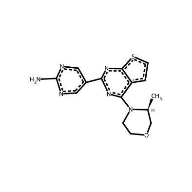 C[C@H]1COCCN1c1nc(-c2cnc(N)nc2)nc2sccc12